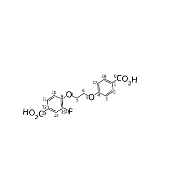 O=C(O)c1ccc(OCCOc2ccc(C(=O)O)cc2F)cc1